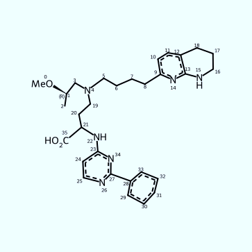 CO[C@H](C)CN(CCCCc1ccc2c(n1)NCCC2)CCC(Nc1ccnc(-c2ccccc2)n1)C(=O)O